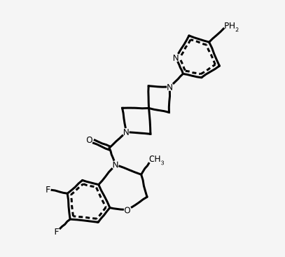 CC1COc2cc(F)c(F)cc2N1C(=O)N1CC2(C1)CN(c1ccc(P)cn1)C2